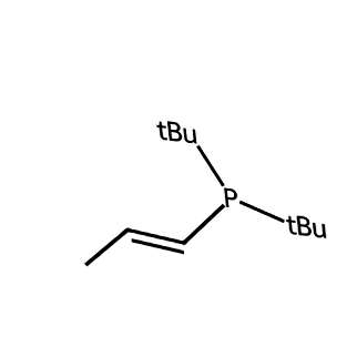 CC=CP(C(C)(C)C)C(C)(C)C